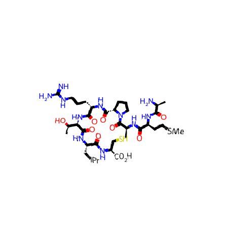 CSCC[C@H](NC(=O)[C@H](C)N)C(=O)N[C@@H](C)C(=O)N1CCC[C@H]1C(=O)N[C@@H](CCCNC(=N)N)C(=O)N[C@H](C(=O)N[C@@H](CC(C)C)C(=O)N[C@@H](CS)C(=O)O)[C@@H](C)O